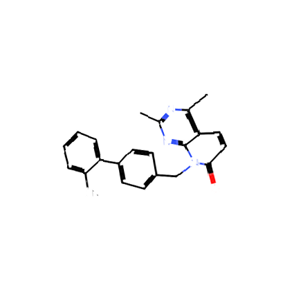 Cc1nc(C)c2ccc(=O)n(Cc3ccc(-c4ccccc4C#N)cc3)c2n1